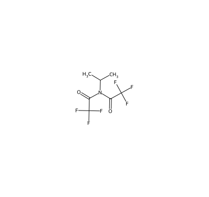 CC(C)N(C(=O)C(F)(F)F)C(=O)C(F)(F)F